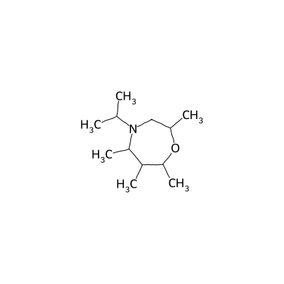 CC1CN(C(C)C)C(C)C(C)C(C)O1